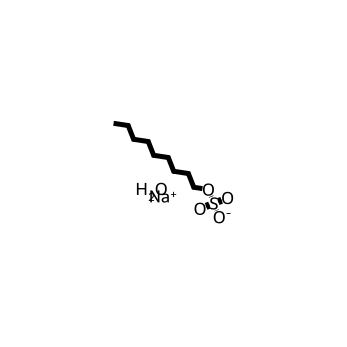 CCCCCCCCCOS(=O)(=O)[O-].O.[Na+]